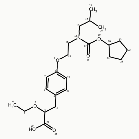 CCOC(Cc1ccc(OCCN(CC(C)C)C(=O)OC2CCCC2)cc1)C(=O)O